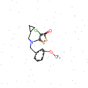 O=c1ssc(N(Cc2cccc(OC(F)(F)F)c2)CC2CC2)c1Cl